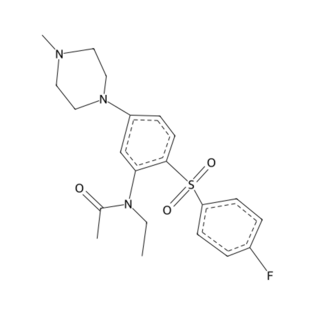 CCN(C(C)=O)c1cc(N2CCN(C)CC2)ccc1S(=O)(=O)c1ccc(F)cc1